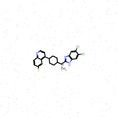 C[C@@H](c1nc2cc(Cl)c(Cl)cc2[nH]1)C1CCC(c2ccnc3ccc(F)cc23)CC1